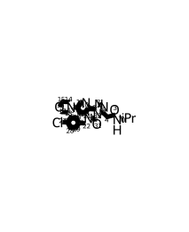 CC(C)NC(=O)Cc1nnc2c3ncc(N4CCOCC4)cc3n(Cc3ccc(Cl)cc3)c(=O)n12